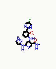 CNC(=O)c1cnc(Nc2ccn(C)n2)cc1Nc1cccc(-c2ncc(F)cn2)c1OC